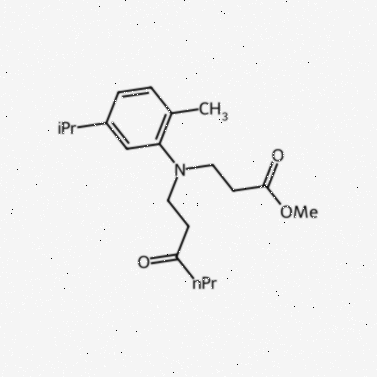 CCCC(=O)CCN(CCC(=O)OC)c1cc(C(C)C)ccc1C